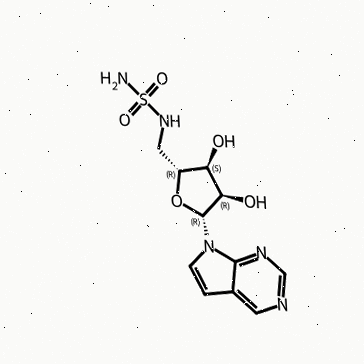 NS(=O)(=O)NC[C@H]1O[C@@H](n2ccc3cncnc32)[C@H](O)[C@@H]1O